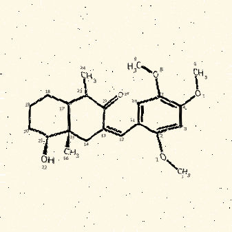 COc1cc(OC)c(OC)cc1/C=C1/C[C@@]2(C)C(CCC[C@@H]2O)C(C)C1=O